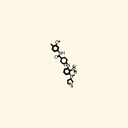 COc1cc(NC(=O)C2CCC(Nc3cccc(N(C)C4CCN(C)C4)c3[N+](=O)[O-])CC2)ccc1C